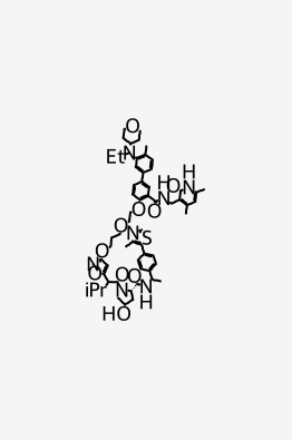 CCN(c1cc(-c2ccc(OCCOCCCOc3cc(C(C(=O)N4C[C@H](O)C[C@H]4C(=O)NC(C)c4ccc(-c5scnc5C)cc4)C(C)C)on3)c(C(=O)NCc3c(C)cc(C)[nH]c3=O)c2)ccc1C)C1CCOCC1